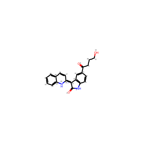 O=C1Nc2ccc(C(=O)CCCO)cc2/C1=C1\C=Cc2ccccc2N1